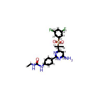 CCNC(=O)Nc1ccc(-c2nc(N)cc(C(C)(C)S(=O)(=O)c3cc(F)cc(F)c3)n2)cc1